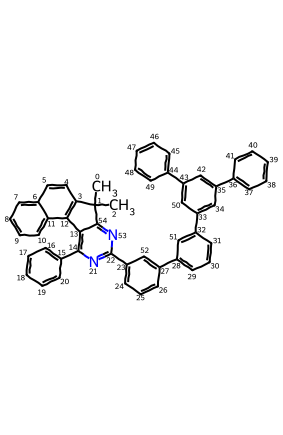 CC1(C)c2ccc3ccccc3c2-c2c(-c3ccccc3)nc(-c3cccc(-c4cccc(-c5cc(-c6ccccc6)cc(-c6ccccc6)c5)c4)c3)nc21